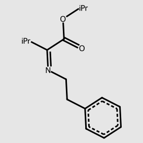 CC(C)OC(=O)/C(=N\CCc1ccccc1)C(C)C